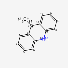 C[SiH]1c2ccccc2Nc2ccccc21